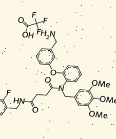 COc1cc(CN(C(=O)CCC(=O)NCc2ccccc2F)c2ccccc2Oc2cccc(CN)c2)cc(OC)c1OC.O=C(O)C(F)(F)F